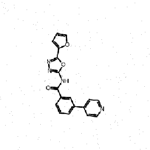 O=C(Nc1nnc(-c2ccco2)o1)c1cccc(-c2ccncc2)c1